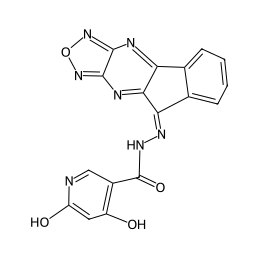 O=C(N/N=C1/c2ccccc2-c2nc3nonc3nc21)c1cnc(O)cc1O